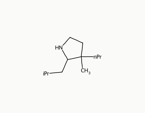 CCCC1(C)CCNC1CC(C)C